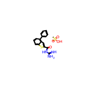 CS(=O)(=O)O.N=C(N)NC(=O)c1cc2c(-c3ccccc3)cccc2s1